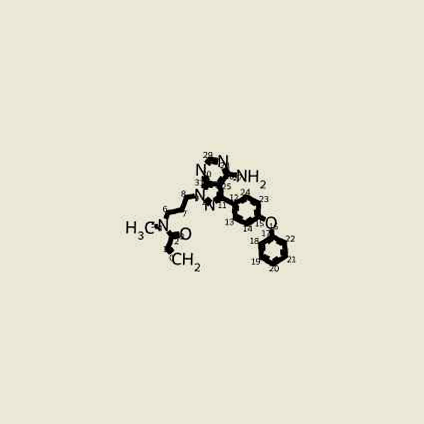 C=CC(=O)N(C)CCCn1nc(-c2ccc(Oc3ccccc3)cc2)c2c(N)ncnc21